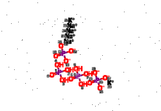 O=P(O)(O)O.O=P(O)(O)O.O=P([O-])([O-])[O-].O=P([O-])([O-])[O-].[K+].[K+].[Na+].[Na+].[Na+].[Na+]